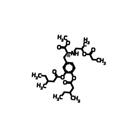 CCC(=O)OC(C)CN[C@@H](Cc1ccc(OC(=O)CC(C)CC)c(OC(=O)CC(C)CC)c1)C(=O)OC